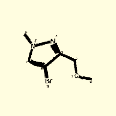 COCc1nn(C)cc1Br